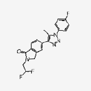 Cc1c(-c2ccc3c(c2)CN(CC(F)F)C3=O)nnn1-c1ccc(F)cc1